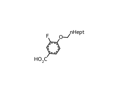 CCCCCCCCOc1ccc(C(=O)O)cc1F